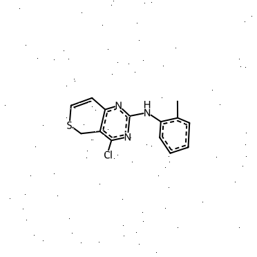 Cc1ccccc1Nc1nc(Cl)c2c(n1)C=CSC2